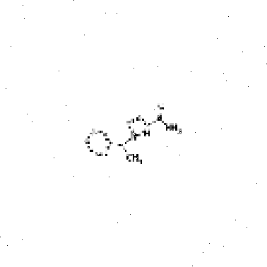 CC(c1ccccc1)n1ccc(C(N)=O)n1